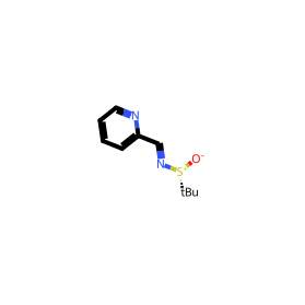 CC(C)(C)[S@@+]([O-])/N=C/c1ccccn1